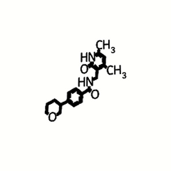 Cc1cc(C)c(CNC(=O)c2ccc(C3CCCOC3)cc2)c(=O)[nH]1